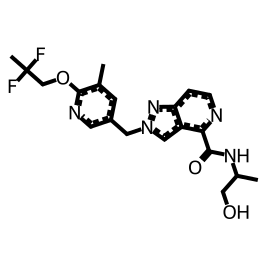 Cc1cc(Cn2cc3c(C(=O)NC(C)CO)nccc3n2)cnc1OCC(C)(F)F